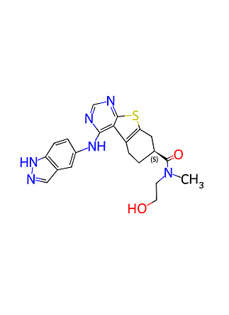 CN(CCO)C(=O)[C@H]1CCc2c(sc3ncnc(Nc4ccc5[nH]ncc5c4)c23)C1